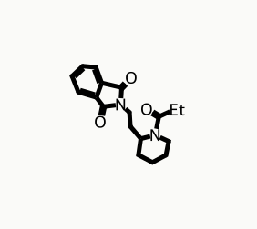 CCC(=O)N1CCCCC1CCN1C(=O)c2ccccc2C1=O